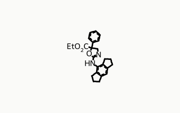 CCOC(=O)C1(c2ccccc2)CN=C(Nc2c3c(cc4c2CCC4)CCC3)O1